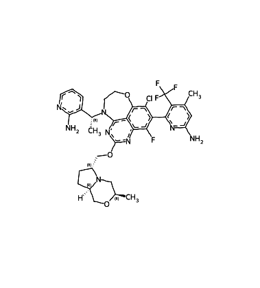 Cc1cc(N)nc(-c2c(Cl)c3c4c(nc(OC[C@H]5CC[C@@H]6CO[C@H](C)CN56)nc4c2F)N([C@H](C)c2cccnc2N)CCO3)c1C(F)(F)F